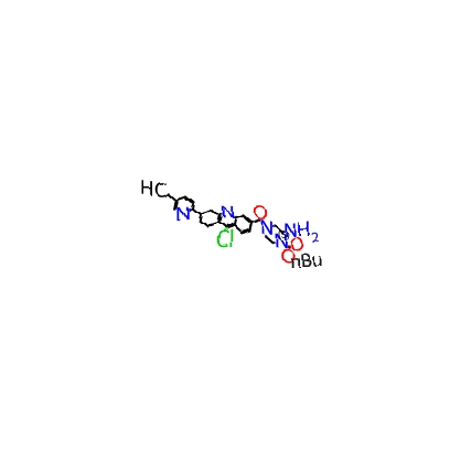 C#Cc1ccc(C2CCc3c(nc4cc(C(=O)N5CCN(C(=O)OCCCC)[C@H](N)C5)ccc4c3Cl)C2)nc1